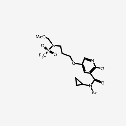 COCN(CCCOc1cnc(Cl)c(C(=O)N(C(C)=O)C2CC2)c1)S(=O)(=O)C(F)(F)F